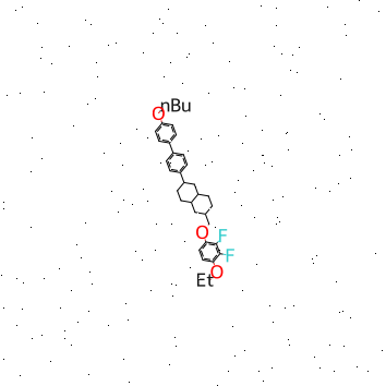 CCCCOc1ccc(-c2ccc(C3CCC4CC(COc5ccc(OCC)c(F)c5F)CCC4C3)cc2)cc1